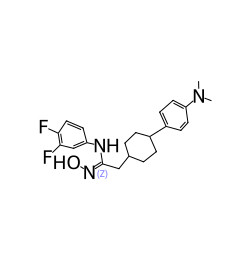 CN(C)c1ccc(C2CCC(C/C(=N/O)Nc3ccc(F)c(F)c3)CC2)cc1